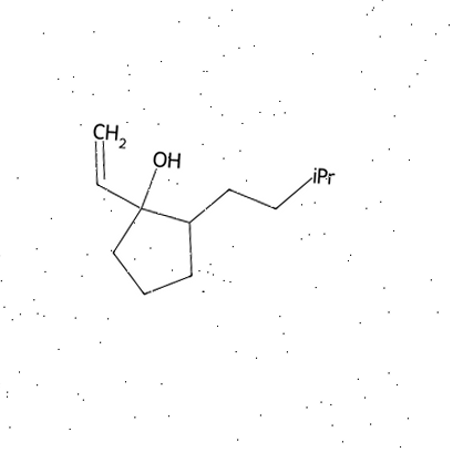 C=CC1(O)CCCC1CCC(C)C